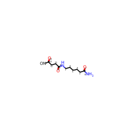 NC(=O)CCCCCNC(=O)CCC(=O)N=O